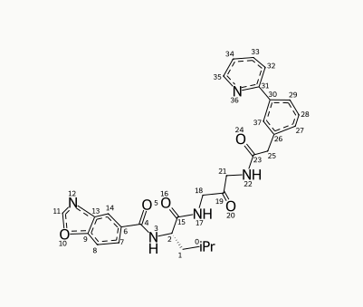 CC(C)C[C@H](NC(=O)c1ccc2ocnc2c1)C(=O)NCC(=O)CNC(=O)Cc1cccc(-c2ccccn2)c1